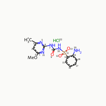 COc1cc(C)nc(NC(=O)NS(=O)(=O)c2ccccc2N)n1.Cl